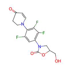 O=C1C=CN(c2c(F)cc(N3CC(CO)OC3=O)c(F)c2F)CC1